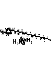 CCCCCCCCCCCCCCCCCCc1ccc(I=O)cc1.NS(N)(=O)=O